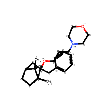 CC1(C)C2CCC1(C)C(Cc1ccccc1)(OCCCN1CCOCC1)C2